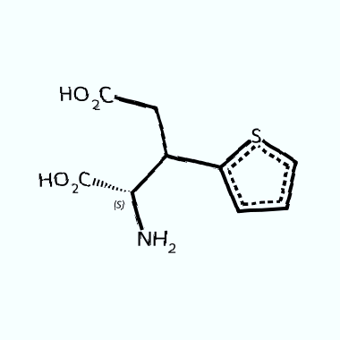 N[C@H](C(=O)O)C(CC(=O)O)c1cccs1